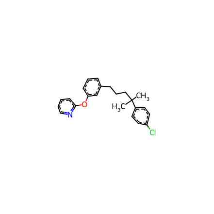 CC(C)(CCCc1cccc(Oc2ccccn2)c1)c1ccc(Cl)cc1